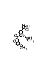 CNCCn1cc(C(=O)C2COc3ccc(OC)cc3C2)c2ccc(-c3cn[nH]c3Cl)cc21